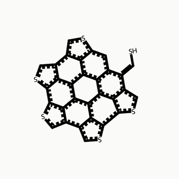 S/C=c1/c2csc3c4scc5c6csc7c8scc9c%10csc%11cc1c1c(c%11%10)c(c98)c(c67)c(c54)c1c23